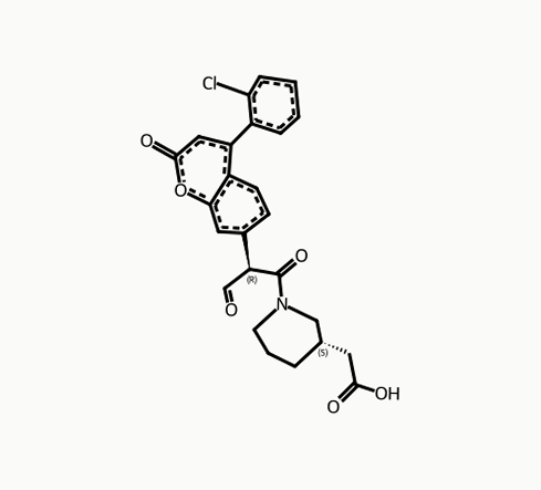 O=C[C@H](C(=O)N1CCC[C@@H](CC(=O)O)C1)c1ccc2c(-c3ccccc3Cl)cc(=O)oc2c1